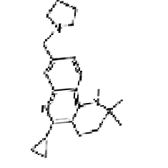 CC1(C)CCc2c(C3CC3)nc3cc(CN4CCCC4)ccc3c2N1